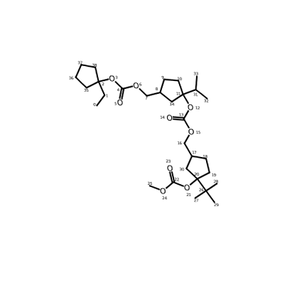 CCC1(OC(=O)OCC2CCC(OC(=O)OCC3CCC(OC(=O)OC)(C(C)(C)C)C3)(C(C)C)C2)CCCC1